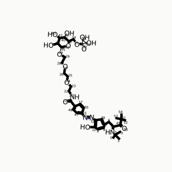 CC(C)(C)NC(Cc1ccc(O)c(/N=N/c2ccc(C(=O)NCCOCCOCCO[C@H]3OC(COP(=O)(O)O)[C@@H](O)C(O)C3O)cc2)c1)C(=O)C(C)(C)C